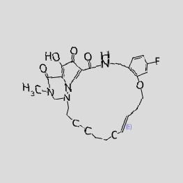 CN1CN2CCCCCCC/C=C/CCOc3cc(F)ccc3CNC(=O)c3cn2c(c(O)c3=O)C1=O